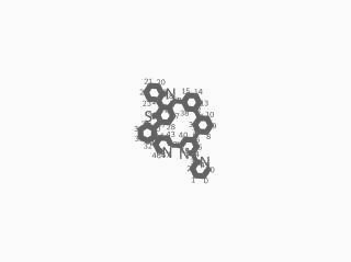 c1ccc(-c2cc(-c3cccc(-c4cccc(-c5nc6ccccc6c6c5ccc5c7ccccc7sc56)c4)c3)cc(-c3ccccn3)n2)nc1